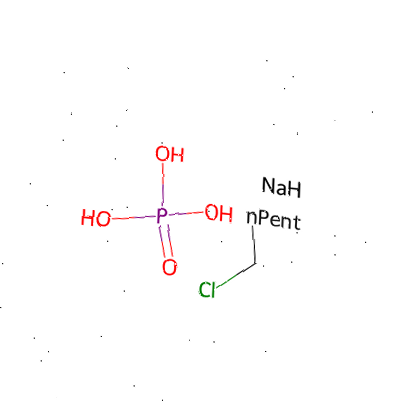 CCCCCCCl.O=P(O)(O)O.[NaH]